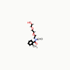 Cc1ccccc1C(=O)N(C=O)CCOCCOCCO